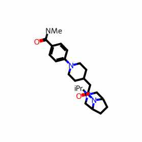 CNC(=O)c1ccc(N2CCC(CC(=O)N3C4CCC3CN(C(C)C)C4)CC2)cc1